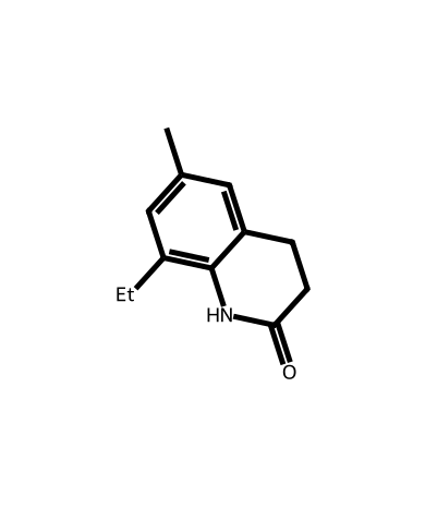 CCc1cc(C)cc2c1NC(=O)CC2